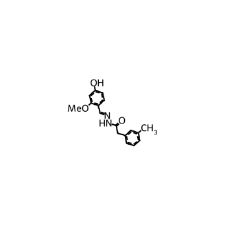 COc1cc(O)ccc1/C=N/NC(=O)Cc1cccc(C)c1